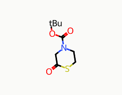 CC(C)(C)OC(=O)N1CCSC(=O)C1